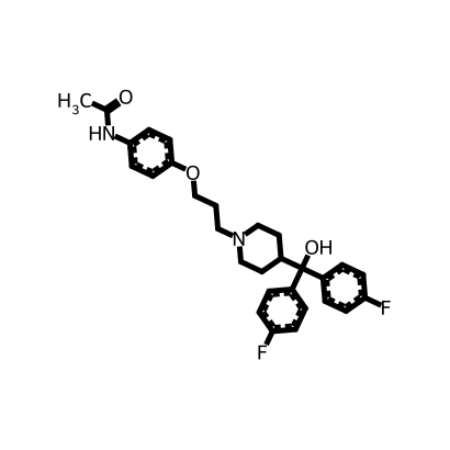 CC(=O)Nc1ccc(OCCCN2CCC(C(O)(c3ccc(F)cc3)c3ccc(F)cc3)CC2)cc1